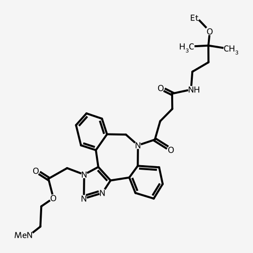 CCOC(C)(C)CCNC(=O)CCC(=O)N1Cc2ccccc2-c2c(nnn2CC(=O)OCCNC)-c2ccccc21